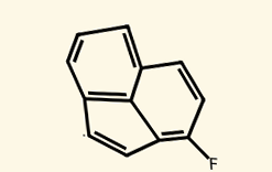 Fc1ccc2cccc3c2c1C=[C]3